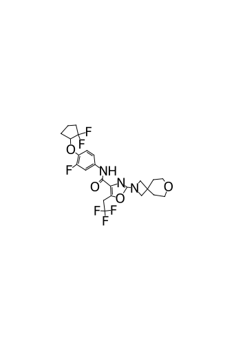 O=C(Nc1ccc(OC2CCCC2(F)F)c(F)c1)c1nc(N2CC3(CCOCC3)C2)oc1CC(F)(F)F